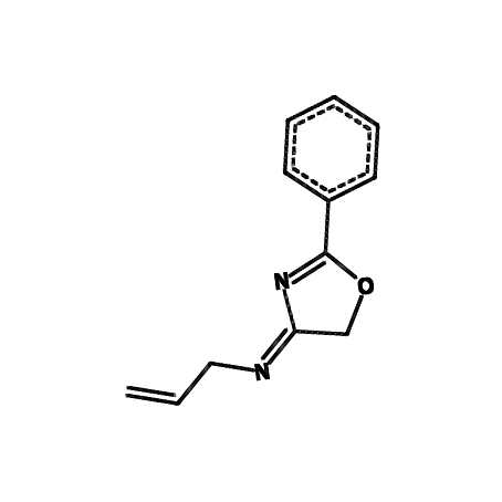 C=CCN=C1COC(c2ccccc2)=N1